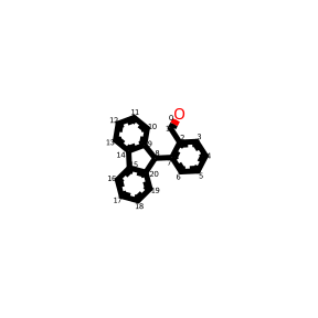 O=Cc1ccccc1C1c2ccccc2-c2ccccc21